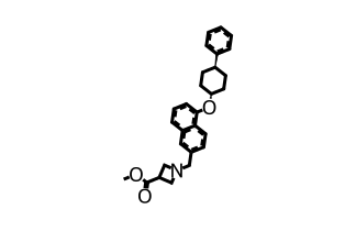 COC(=O)C1CN(Cc2ccc3c(O[C@H]4CC[C@H](c5ccccc5)CC4)cccc3c2)C1